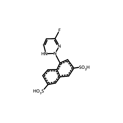 O=S(=O)(O)c1ccc2c(N3N=C(F)C=[C]N3)cc(S(=O)(=O)O)cc2c1